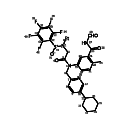 CCN(CC(=O)N(Cc1ccc(C2CCCCC2)cn1)c1ccc(C)c(C(=O)NC=O)c1)[S+]([O-])c1c(F)c(F)c(F)c(F)c1F